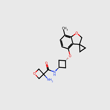 Cc1ccc(O[C@H]2C[C@H](NC(=O)C3(N)COC3)C2)c2c1OCC21CC1